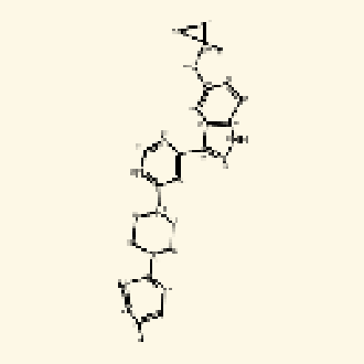 Cc1cnc(N2CCN(c3cc(-c4n[nH]c5ccc(OC6(C)CC6)cc45)ncn3)CC2)nc1